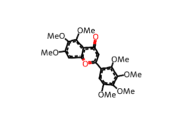 COc1cc(-c2cc(=O)c3c(OC)c(OC)c(OC)cc3o2)c(OC)c(OC)c1OC